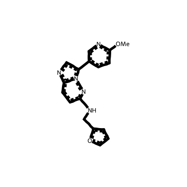 COc1ccc(-c2cnc3ccc(NCc4ccco4)nn23)cn1